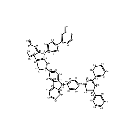 C=C/C=C(\C=C/C)c1ccc(-n2c3c(c(=C/C)/c2=C\C=C)CCC(c2ccc4c(c2)c2ccccc2n4-c2ccc(-c4cc(-c5ccccc5)nc(C5=CC=CCC5)n4)cc2)=C3)cc1